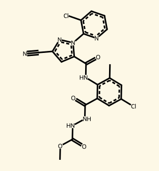 COC(=O)NNC(=O)c1cc(Cl)cc(C)c1NC(=O)c1cc(C#N)nn1-c1ncccc1Cl